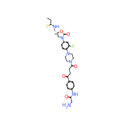 CCC(=S)NC[C@H]1CN(c2ccc(N3CCN(C(=O)CCC(=O)c4ccc(NC(=O)CN)cc4)CC3)c(F)c2)C(=O)O1